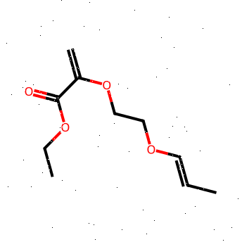 C=C(OCCOC=CC)C(=O)OCC